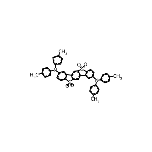 Cc1ccc(N(c2ccc(C)cc2)c2ccc3c(c2)-c2cc4c(cc2S3(=O)=O)-c2cc(N(c3ccc(C)cc3)c3ccc(C)cc3)ccc2S4(=O)=O)cc1